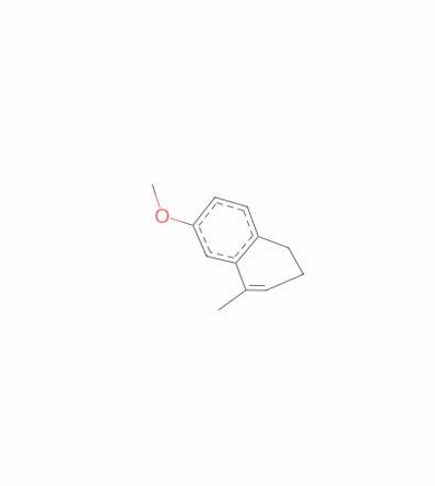 COc1ccc2c(c1)C(C)=CCC2